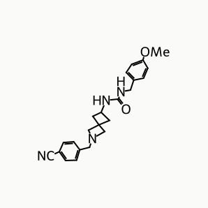 COc1ccc(CNC(=O)NC2CC3(C2)CN(Cc2ccc(C#N)cc2)C3)cc1